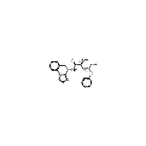 C=C/C(=C\C(=N/C)C(=O)NC1Cc2ccccc2-n2ccnc21)Oc1ccccc1